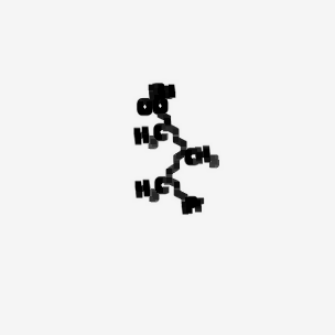 CCC(C)C(=O)OC/C=C(\C)CCC[C@H](C)CCC[C@H](C)CCCC(C)C